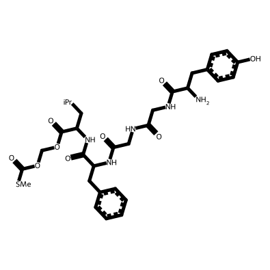 CSC(=O)OCOC(=O)C(CC(C)C)NC(=O)C(Cc1ccccc1)NC(=O)CNC(=O)CNC(=O)C(N)Cc1ccc(O)cc1